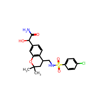 CC1(C)CC(CNS(=O)(=O)c2ccc(Cl)cc2)c2ccc(C(O)C(N)=O)cc2O1